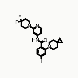 O=C(Nc1ccnc(N2CCC(F)(F)CC2)c1)c1ccc(I)cc1N1CCC2(CC1)CC2